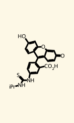 CC(C)NC(=S)Nc1ccc(-c2c3ccc(=O)cc-3oc3cc(O)ccc23)c(C(=O)O)c1